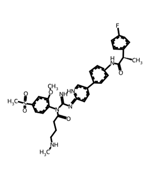 CNCCCC(=O)N(C(=N)/N=c1/ccc(-c2ccc(NC(=O)[C@H](C)c3ccc(F)cc3)cc2)c[nH]1)c1ccc(S(C)(=O)=O)cc1OC